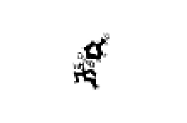 C=CCC(CC)(CC)NS(=O)(=O)c1ccc(C#N)cc1